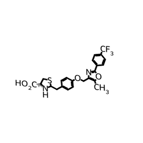 Cc1oc(-c2ccc(C(F)(F)F)cc2)nc1COc1ccc(CC2N[C@H](C(=O)O)CS2)cc1